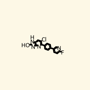 Oc1nc2nc(-c3ccc(-c4ccc(F)nc4)cc3)c(Cl)cc2[nH]1